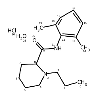 CCCN1CCCCC1C(=O)Nc1c(C)cccc1C.Cl.O